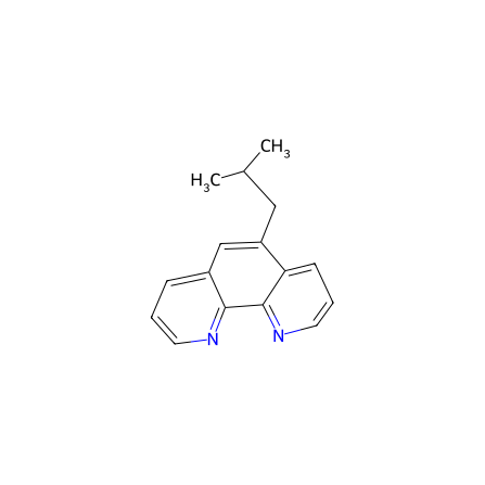 CC(C)Cc1cc2cccnc2c2ncccc12